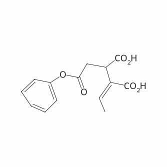 CC=C(C(=O)O)C(CC(=O)Oc1ccccc1)C(=O)O